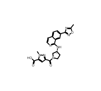 Cc1nc(-c2ccc3ccnc(N[C@H]4CCN(C(=O)c5cc(C(=O)O)n(C)n5)C4)c3c2)no1